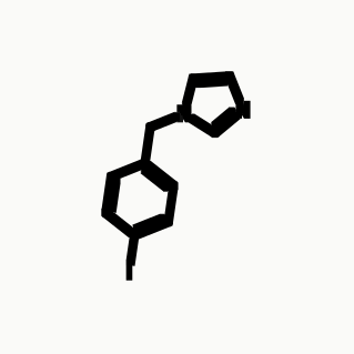 Ic1ccc(Cn2ccnc2)cc1